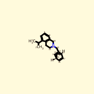 CC(C)c1cccc2c1CCN(CC1C[C@H]3C=C[C@@H]1C3)C2